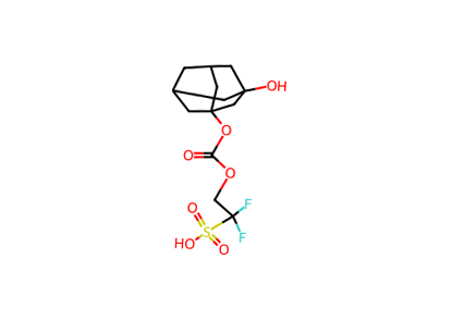 O=C(OCC(F)(F)S(=O)(=O)O)OC12CC3CC(CC(O)(C3)C1)C2